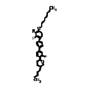 CCCCCCCCOc1ccc(-c2ccc(-c3ccc(C4CCC(CCCCC)CO4)c(F)c3)cc2)c(F)c1F